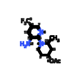 CC(=O)OC1CCN(c2ncc(C(F)(F)F)cc2N)C(C)C1